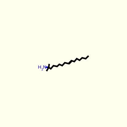 CCCCCCC=CCCCCCCC(C)(C)N